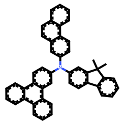 CC1(C)c2ccccc2-c2ccc(N(c3ccc4c(ccc5ccccc54)c3)c3ccc4c5ccccc5c5ccccc5c4c3)cc21